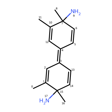 CC1=CC(=C2C=CC(C)(N)C(C)=C2)C=CC1(C)N